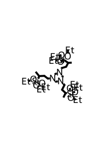 CCO[Si](OCC)(OCC)C(C)CCN1CN(CCC(C)[Si](OCC)(OCC)OCC)CN(CCC(C)[Si](OCC)(OCC)OCC)C1